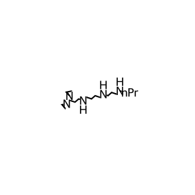 CCCNCCCNCCCCNCCC(N1CC1)N1CC1